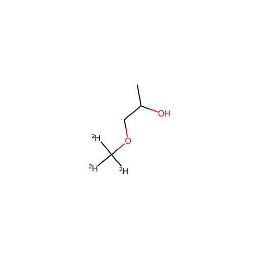 [2H]C([2H])([2H])O[CH]C(C)O